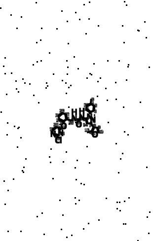 Cc1ccc(-n2nc(-c3ccoc3C)cc2NC(=O)NCc2ccccc2Oc2ccnc(Cl)n2)cc1